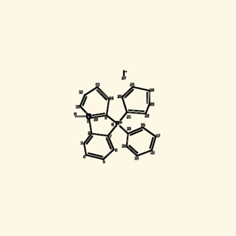 COc1ccccc1[P+](c1ccccc1)(c1ccccc1)c1ccccc1.[I-]